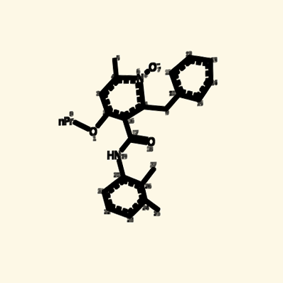 CCCOc1cc(C)[n+]([O-])c(Cc2ccccc2)c1C(=O)Nc1cccc(C)c1C